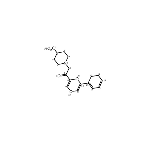 O=C(CN1CCC(C(=O)O)CC1)C1=COC=C(C2=CC=CCC2)O1